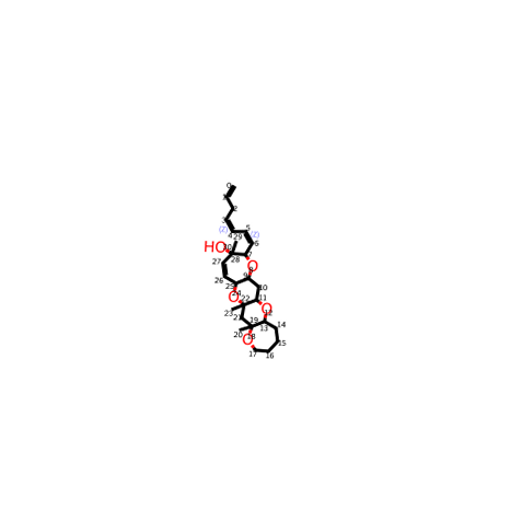 C=CC/C=C\C=C/C1OC2CC3OC4CCCCOC4(C)CC3(C)OC2C=CC1(C)O